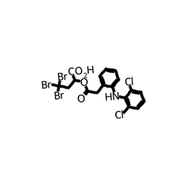 O=C(Cc1ccccc1Nc1c(Cl)cccc1Cl)OC(CC(Br)(Br)Br)C(=O)O